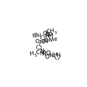 COc1c(NC(=O)c2ccc(C)c(-n3cc(OC(=O)NCc4cccnc4)nn3)c2)cc(C(C)(C)C)cc1NS(C)(=O)=O